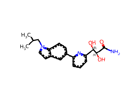 CC(C)Cn1ccc2cc(-c3cccc([C@@H](O)[C@H](O)C(N)=O)n3)ccc21